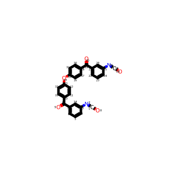 O=C=Nc1cccc(C(=O)c2ccc(Oc3ccc(C(=O)c4cccc(N=C=O)c4)cc3)cc2)c1